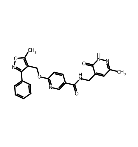 Cc1cc(CNC(=O)c2ccc(OCc3c(-c4ccccc4)noc3C)nc2)c(=O)[nH]n1